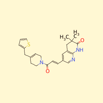 CC1(C)Cc2cc(C=CC(=O)N3CC=C(Cc4cccs4)CC3)cnc2NC1=O